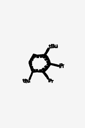 CC(C)c1c(C(C)(C)C)ccc(C(C)(C)C)c1C(C)C